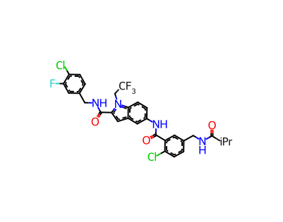 CC(C)C(=O)NCc1ccc(Cl)c(C(=O)Nc2ccc3c(c2)cc(C(=O)NCc2ccc(Cl)c(F)c2)n3CC(F)(F)F)c1